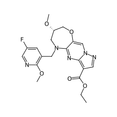 CCOC(=O)c1cnn2cc3c(nc12)N(Cc1cc(F)cnc1OC)C[C@H](OC)CO3